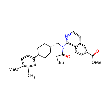 COC(=O)c1ccc2c(N(C[C@H]3CC[C@H](c4ccc(OC)c(C)c4)CC3)C(=O)CC(C)(C)C)nccc2c1